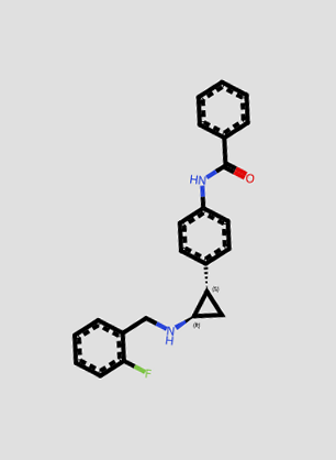 O=C(Nc1ccc([C@@H]2C[C@H]2NCc2ccccc2F)cc1)c1ccccc1